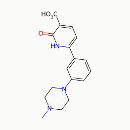 CN1CCN(c2cccc(-c3ccc(C(=O)O)c(=O)[nH]3)c2)CC1